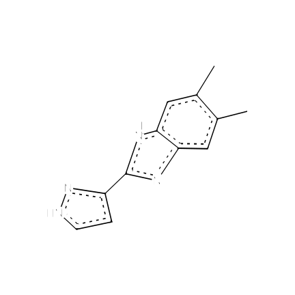 Cc1cc2nc(-c3[c]c[nH]n3)[nH]c2cc1C